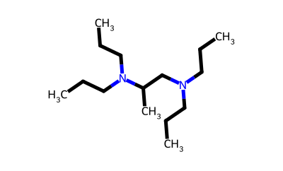 CCCN(CCC)CC(C)N(CCC)CCC